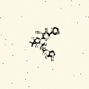 CC(C)(C)[C@H](NC(=O)c1cnccn1)C(=O)N1C[C@H]2[C@@H]([C@H]1C(=O)N[C@H](C#N)C[C@@H]1CCNC1=O)C2(C)C